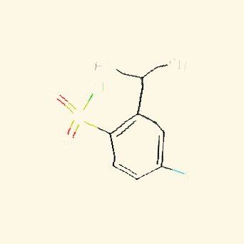 CC(C)c1cc(F)ccc1S(=O)(=O)Cl